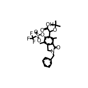 Cc1c2c(c(C)c(C(OC(C)(C)C)C(=O)O)c1OS(=O)(=O)C(F)(F)F)C(=O)N(Cc1ccccc1)C2